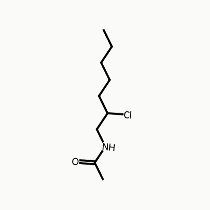 CCCCCC(Cl)CNC(C)=O